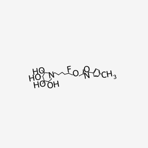 Cc1ccc(-c2nc(COCC(F)CCCCN3C[C@H](O)[C@@H](O)[C@H](O)[C@@H](O)C3)co2)cc1